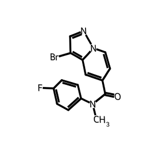 CN(C(=O)c1ccn2ncc(Br)c2c1)c1ccc(F)cc1